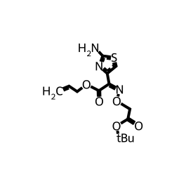 C=CCOC(=O)C(=NOCC(=O)OC(C)(C)C)c1csc(N)n1